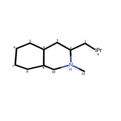 CC(C)CC1CC2CCCCC2CN1C